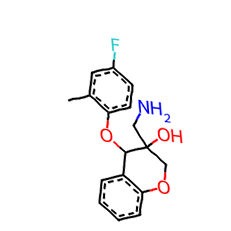 Cc1cc(F)ccc1OC1c2ccccc2OCC1(O)CN